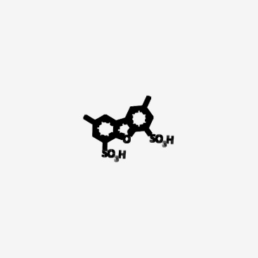 Cc1cc(S(=O)(=O)O)c2oc3c(S(=O)(=O)O)cc(C)cc3c2c1